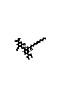 CCCCC/C=C/CCCC(=O)Nc1cc(N(CC)CC)ccc1/N=N/c1c(Br)cc([N+](=O)[O-])cc1C#N